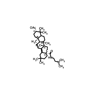 CC(=O)O[C@H]1CC[C@@]2(C)C(CC[C@]3(C)C2CCC2=C4CC(C)(C)CC[C@]4(C(=O)NCCN(C)C)CC[C@]23C)C1(C)C